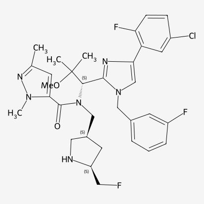 COC(C)(C)[C@H](c1nc(-c2cc(Cl)ccc2F)cn1Cc1cccc(F)c1)N(C[C@@H]1CN[C@H](CF)C1)C(=O)c1cc(C)nn1C